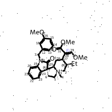 CC[C@H]1C[N+]2(C)CC[C@]3(C(=O)N(Cc4cccc(OC)c4)c4ccccc43)C2CC1/C(=C\OC)C(=O)OC